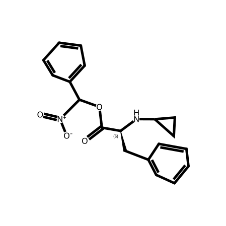 O=C(OC(c1ccccc1)[N+](=O)[O-])[C@H](Cc1ccccc1)NC1CC1